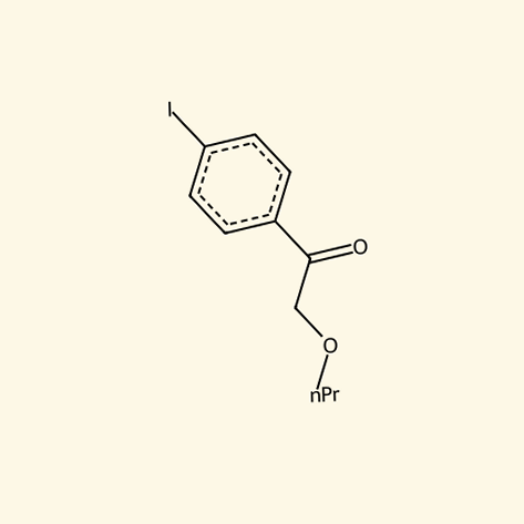 CCCOCC(=O)c1ccc(I)cc1